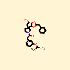 CC(C)Oc1cccc(CC(=O)N2CCC(CCO)(C3=COC(Cc4ccccc4)O3)C2)c1